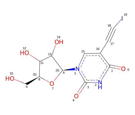 O=c1[nH]c(=O)n([C@H]2O[C@@H](CO)C(O)C2O)cc1C#CI